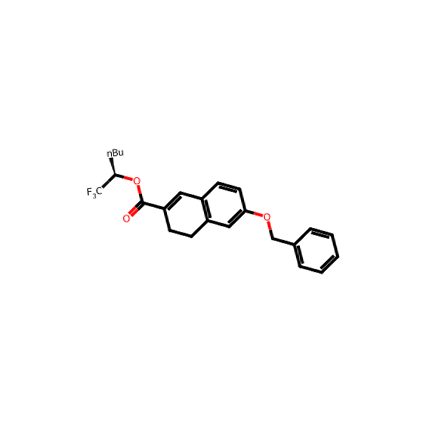 CCCC[C@@H](OC(=O)C1=Cc2ccc(OCc3ccccc3)cc2CC1)C(F)(F)F